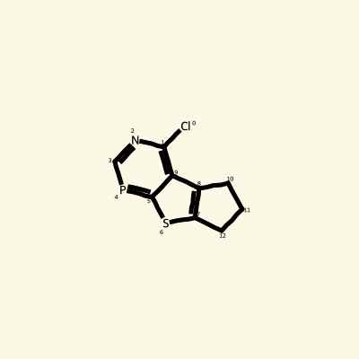 Clc1ncpc2sc3c(c12)CCC3